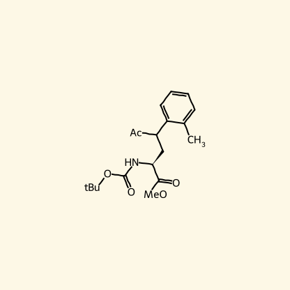 COC(=O)[C@H](CC(C(C)=O)c1ccccc1C)NC(=O)OC(C)(C)C